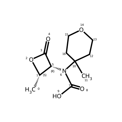 C[C@@H]1OC(=O)[C@@H]1N(C(=O)O)C1(C)CCOCC1